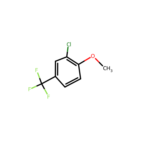 COc1ccc(C(F)(F)F)cc1Cl